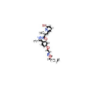 CCCC(NC(=O)/C(C#N)=C/c1cccc(Br)n1)c1ccc(OC/C=N/OCC(=O)O)cc1